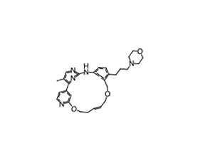 Cc1cnc2nc1-c1ccnc(c1)OCC/C=C/COCc1cc(ccc1CCCN1CCOCC1)N2